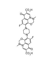 CN1COc2c(N3CCN(c4c(F)cc5c(=O)c(C(=O)O)cn6c5c4OCN6C)CC3)c(F)cc3c(=O)c(C(=O)O)cn1c23